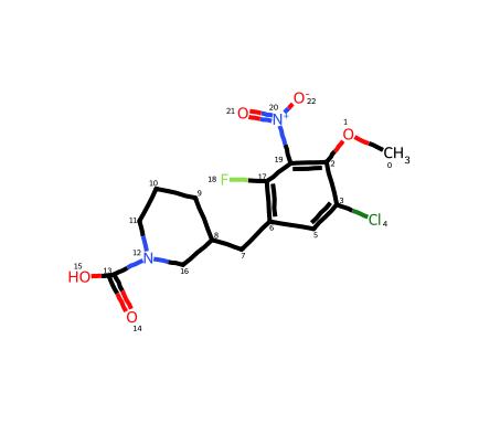 COc1c(Cl)cc(CC2CCCN(C(=O)O)C2)c(F)c1[N+](=O)[O-]